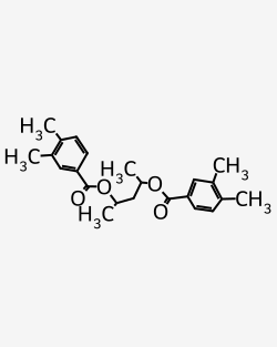 Cc1ccc(C(=O)OC(C)CC(C)OC(=O)c2ccc(C)c(C)c2)cc1C